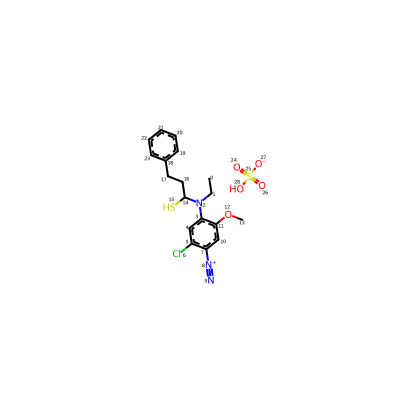 CCN(c1cc(Cl)c([N+]#N)cc1OC)C(S)CCc1ccccc1.O=S(=O)([O-])O